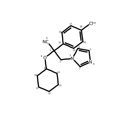 N#CC(Cn1ccnc1)(OC1CCCCC1)c1ccc(Cl)cc1